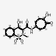 CN1C(C(=O)Nc2ccc(O)c(=O)cc2)=C(O)c2ccccc2S1(=O)=O